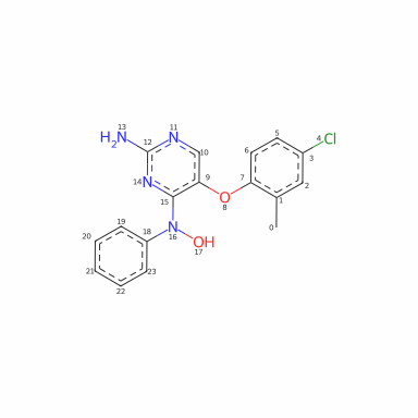 Cc1cc(Cl)ccc1Oc1cnc(N)nc1N(O)c1ccccc1